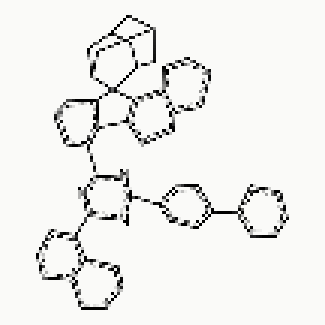 c1ccc(-c2ccc(-c3nc(-c4cccc5c4-c4ccc6ccccc6c4C54C5CC6CC(C5)CC4C6)nc(-c4cccc5ccccc45)n3)cc2)cc1